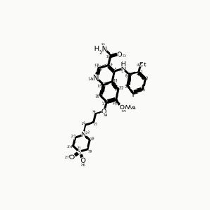 CCc1ccccc1Nc1c(C(N)=O)cnc2cc(OCCCN3CCS(=O)(=O)CC3)c(OC)cc12